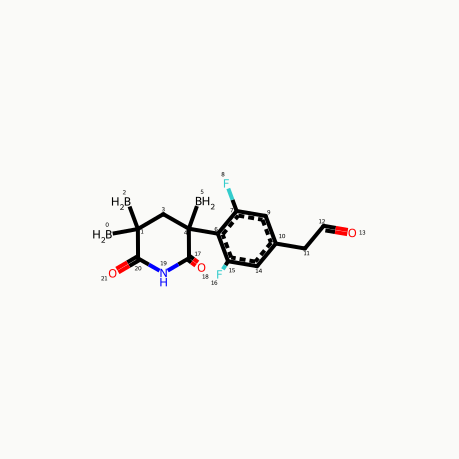 BC1(B)CC(B)(c2c(F)cc(CC=O)cc2F)C(=O)NC1=O